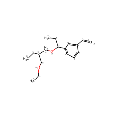 C=Cc1cccc(C(CC)O[SiH2]C(CC)COCC)c1